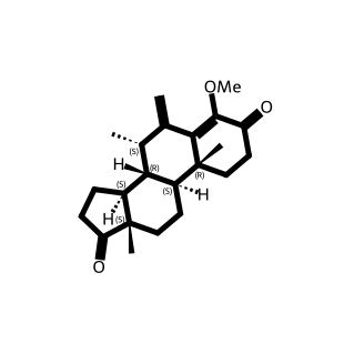 C=C1C2=C(OC)C(=O)CC[C@]2(C)[C@H]2CC[C@]3(C)C(=O)CC[C@H]3[C@@H]2[C@@H]1C